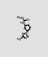 CNC(=O)Nc1cccc(-n2nnc(S)n2)c1